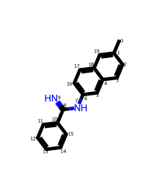 Cc1ccc2cc(NC(=N)c3ccccc3)ccc2c1